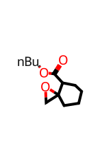 CCCCOC(=O)C1CCCCC12CO2